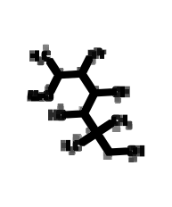 CCCC(C(C)OC)C(O)C(O)C(C)(C)CO